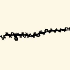 CCCCCCCCOCCOCCOCCOCCCC(=O)OCCC